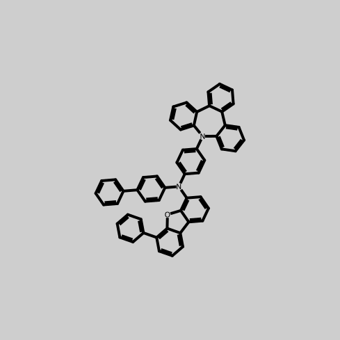 c1ccc(-c2ccc(N(c3ccc(N4c5ccccc5-c5ccccc5-c5ccccc54)cc3)c3cccc4c3oc3c(-c5ccccc5)cccc34)cc2)cc1